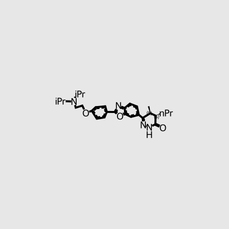 CCC[C@@H]1C(=O)NN=C(c2ccc3nc(-c4ccc(OCCN(C(C)C)C(C)C)cc4)oc3c2)[C@H]1C